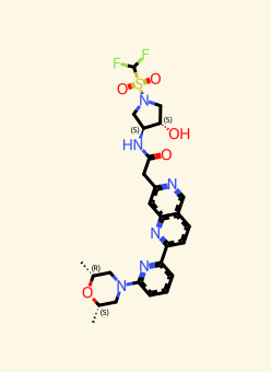 C[C@@H]1CN(c2cccc(-c3ccc4cnc(CC(=O)N[C@H]5CN(S(=O)(=O)C(F)F)C[C@@H]5O)cc4n3)n2)C[C@H](C)O1